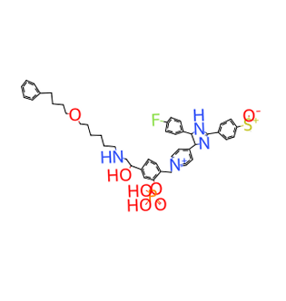 C[S+]([O-])c1ccc(C2=NC(c3cc[n+](Cc4ccc(C(O)CNCCCCCCOCCCCc5ccccc5)cc4OP(=O)(O)O)cc3)C(c3ccc(F)cc3)N2)cc1